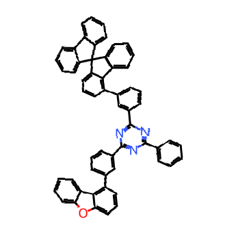 c1ccc(-c2nc(-c3cccc(-c4cccc5c4-c4ccccc4C54c5ccccc5-c5ccccc54)c3)nc(-c3cccc(-c4cccc5oc6ccccc6c45)c3)n2)cc1